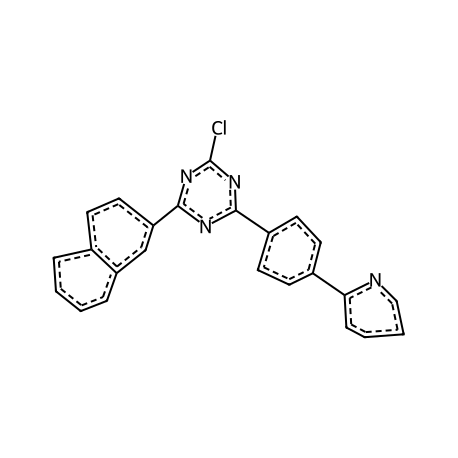 Clc1nc(-c2ccc(-c3ccccn3)cc2)nc(-c2ccc3ccccc3c2)n1